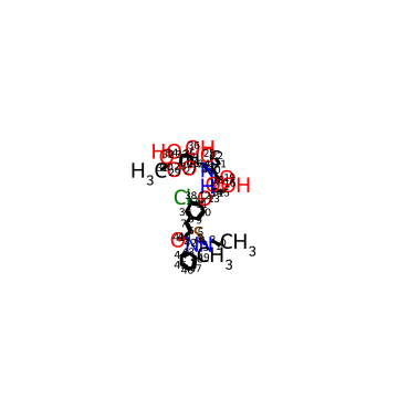 CCC/N=C1\S/C(=C\c2ccc(OC[C@@H](CO)OC(=O)[C@H](CC)NC(=O)[C@H]3O[C@H](OC(C)=O)[C@@H](O)[C@H]3O)c(Cl)c2)C(=O)N1c1ccccc1C